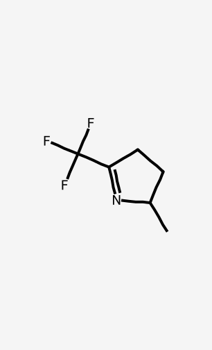 CC1CCC(C(F)(F)F)=N1